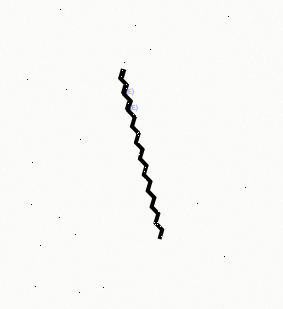 C=C/C=C/C=C/CCCCCCCCCCCCCCCC